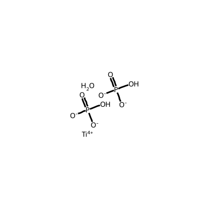 O.O=P([O-])([O-])O.O=P([O-])([O-])O.[Ti+4]